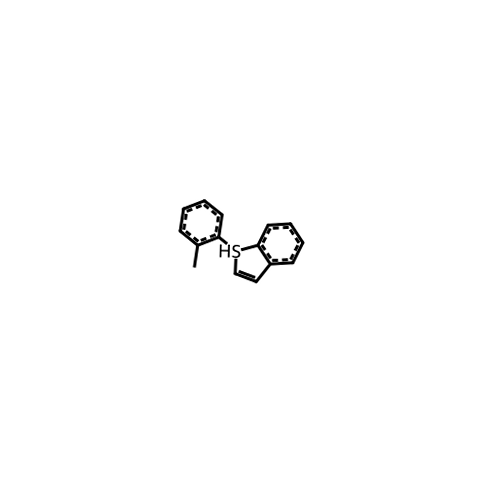 Cc1ccccc1[SH]1C=Cc2ccccc21